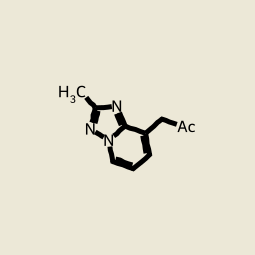 CC(=O)Cc1cccn2nc(C)nc12